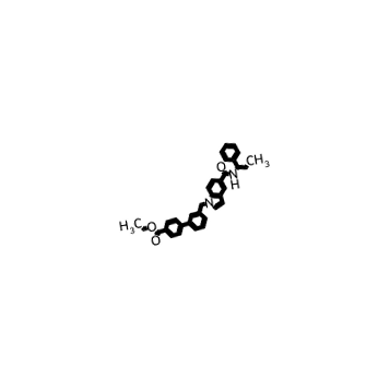 CCOC(=O)c1ccc(-c2cccc(Cn3ccc4cc(C(=O)NC(CC)c5ccccc5)ccc43)c2)cc1